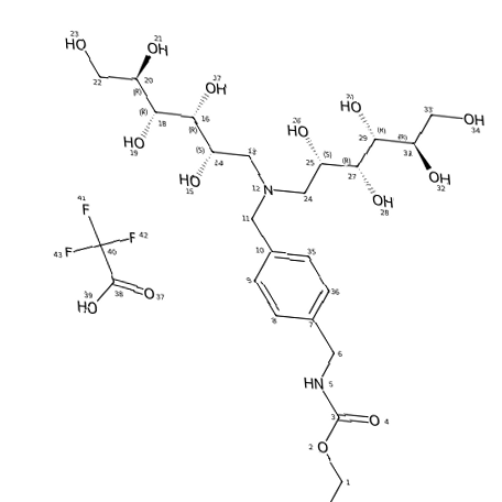 CCOC(=O)NCc1ccc(CN(C[C@H](O)[C@@H](O)[C@H](O)[C@H](O)CO)C[C@H](O)[C@@H](O)[C@H](O)[C@H](O)CO)cc1.O=C(O)C(F)(F)F